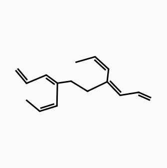 C=C/C=C(\C=C/C)CCC(/C=C\C)=C/C=C